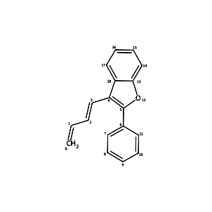 C=CC=Cc1c(-c2ccccc2)oc2ccccc12